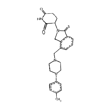 Cc1ccc(N2CCN(Cc3cccc4c3CN(C3CCC(=O)NC3=O)C4=S)CC2)cc1